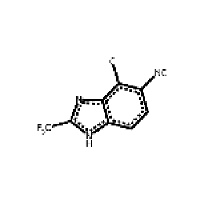 [C-]#[N+]c1ccc2[nH]c(C(F)(F)F)nc2c1Cl